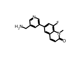 Cn1c(=O)ccc2cc(-c3cncc(CN)c3)cc(F)c21